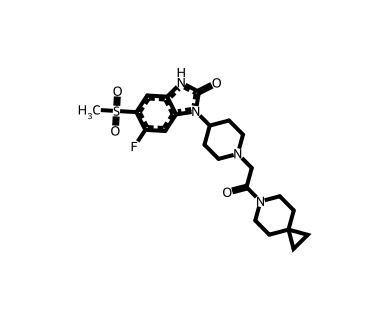 CS(=O)(=O)c1cc2[nH]c(=O)n(C3CCN(CC(=O)N4CCC5(CC4)CC5)CC3)c2cc1F